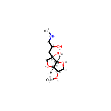 CC(C)(C)NCC(O)C[C@]1(O)CO[C@@H]2[C@H](O[N+](=O)[O-])CO[C@@H]21